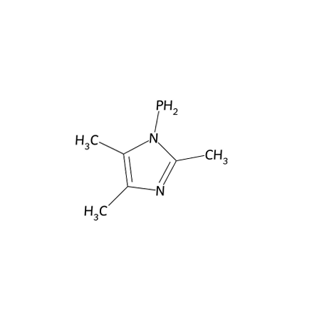 Cc1nc(C)n(P)c1C